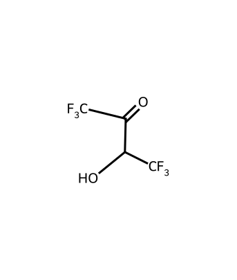 O=C(C(O)C(F)(F)F)C(F)(F)F